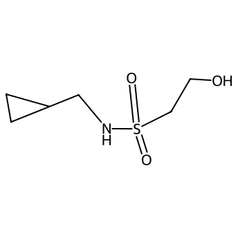 O=S(=O)(CCO)NCC1CC1